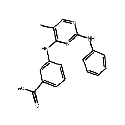 Cc1cnc(Nc2ccccc2)nc1Nc1cccc(C(=O)O)c1